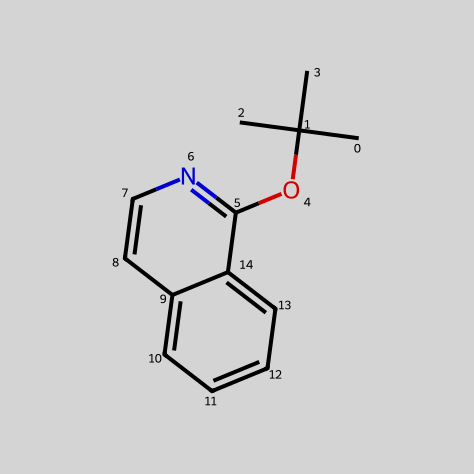 CC(C)(C)Oc1nccc2ccccc12